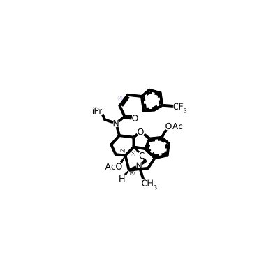 CC(=O)Oc1ccc2c3c1OC1C(N(CC(C)C)C(=O)/C=C\c4ccc(C(F)(F)F)cc4)CC[C@@]4(OC(C)=O)[C@@H](C2)N(C)CC[C@]314